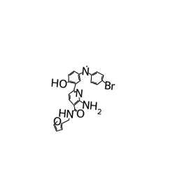 CN(c1ccc(Br)cc1)c1ccc(O)c(-c2ccc(C(=O)NCc3ccco3)c(N)n2)c1